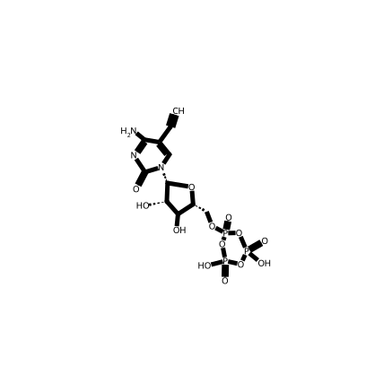 C#Cc1cn([C@@H]2O[C@H](COP3(=O)OP(=O)(O)OP(=O)(O)O3)C(O)[C@@H]2O)c(=O)nc1N